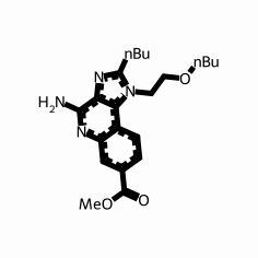 CCCCOCCn1c(CCCC)nc2c(N)nc3cc(C(=O)OC)ccc3c21